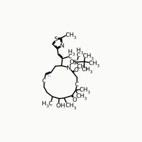 CC(=Cc1csc(C)n1)C1C/C=C/CCCC(C)C(O)C(C)C(=O)C(C)(C)CCC(=O)N1O[Si](C)(C)C(C)(C)C